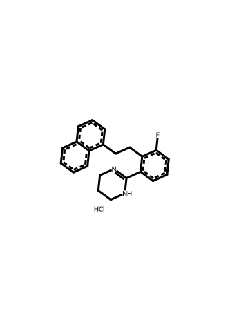 Cl.Fc1cccc(C2=NCCCN2)c1CCc1cccc2ccccc12